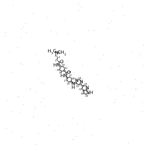 CN(C)C/C=C/C(=O)Nc1ccc(C(=O)Nc2ccc(Nc3cc(-c4cnc5[nH]ccc5c4)ncn3)cc2)cc1